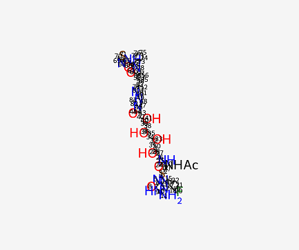 CC(=O)N[C@@H](CSc1nc2c(=O)[nH]c(N)nc2n1Cc1ccc(F)cc1)C(=O)NCCC(O)CCC(O)CCC(O)CCC(O)CCC(=O)N1CCN(c2ccc(-c3ccc4c(c3)C(=O)N(C(C(=O)Nc3nccs3)c3ccccc3)C4)cn2)CC1